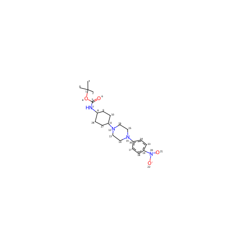 CC(C)(C)OC(=O)NC1CCC(N2CCN(c3ccc([N+](=O)[O-])cc3)CC2)CC1